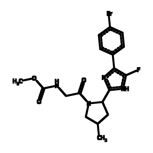 COC(=O)NCC(=O)N1CC(C)CC1c1nc(-c2ccc(Br)cc2)c(F)[nH]1